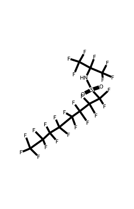 O=S(=O)(NC(F)(C(F)(F)F)C(F)(F)F)C(F)(F)C(F)(F)C(F)(F)C(F)(F)C(F)(F)C(F)(F)C(F)(F)C(F)(F)F